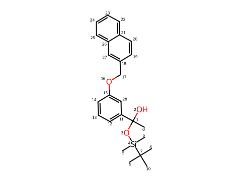 CC(O)(O[Si](C)(C)C(C)(C)C)c1cccc(OCc2ccc3ccccc3c2)c1